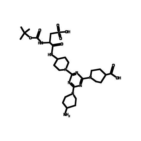 CC(C)(C)OC(=O)NC(CS(=O)(=O)O)C(=O)NC1CCN(c2nc(N3CCC(N)CC3)nc(N3CCC(C(=O)O)CC3)n2)CC1